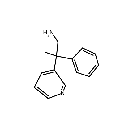 CC(CN)(c1ccccc1)c1cccnc1